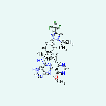 [2H]C([2H])(Nc1nc(-c2c(OC)ncnc2C2CC2)nc2nc[nH]c12)c1ccc(-c2nc(C(F)(F)F)cn2C(C)C)cc1